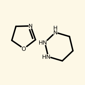 C1=NCCO1.C1CNNNC1